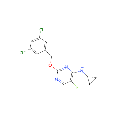 Fc1cnc(OCc2cc(Cl)cc(Cl)c2)nc1NC1CC1